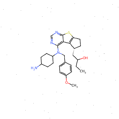 CCC(O)C[C@H]1CCc2sc3ncnc(N(Cc4ccc(OC)cc4)C4CCC(N)CC4)c3c21